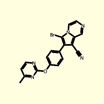 Cc1ccnc(Oc2ccc(-c3c(C#N)c4cnccn4c3Br)cc2)n1